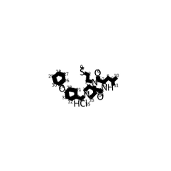 CSCCN1C(=O)C(CC(C)C)NC(=O)C12CCN(Cc1ccc(Oc3ccccc3)cc1)CC2.Cl